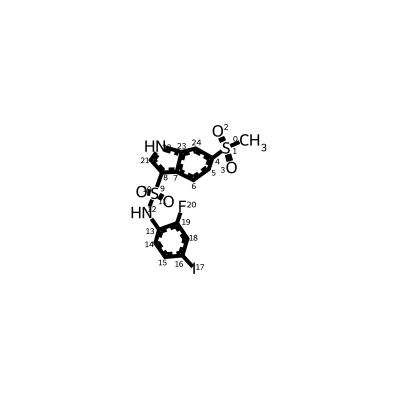 CS(=O)(=O)c1ccc2c(S(=O)(=O)Nc3ccc(I)cc3F)c[nH]c2c1